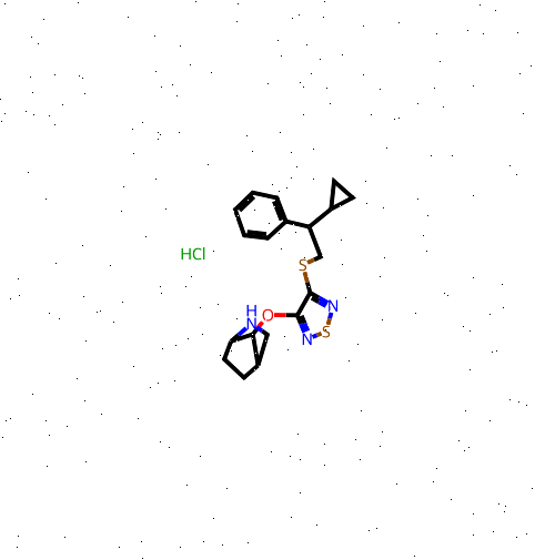 Cl.c1ccc(C(CSc2nsnc2OC2C3CCC2NC3)C2CC2)cc1